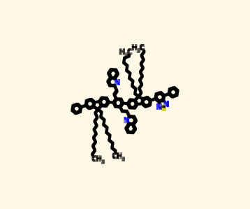 CCCCCCCCCCCCC1(CCCCCCCCCCCC)c2cc(-c3ccccc3)ccc2-c2ccc(-c3cc(/C=C/c4ccc5ccccc5n4)c(-c4ccc5c(c4)C(CCCCCCCCCCCC)(CCCCCCCCCCCC)c4cc(-c6ccc(-c7ccccc7)c7nsnc67)ccc4-5)cc3/C=C/c3ccc4ccccc4n3)cc21